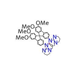 COc1cc2c(cc1OC)C1(c3cc(N4CCCN5CCCN=C54)ccc3-2)c2cc(N3CCCN4CCCN=C43)ccc2-c2cc(OC)c(OC)cc21